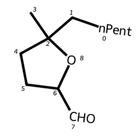 CCCCCCC1(C)CCC(C=O)O1